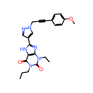 CCCn1c(=O)c2[nH]c(-c3cnn(CC#Cc4ccc(OC)cc4)c3)nc2n(CC)c1=O